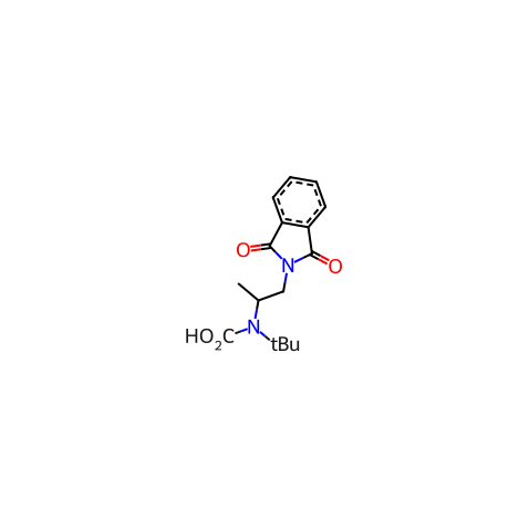 CC(CN1C(=O)c2ccccc2C1=O)N(C(=O)O)C(C)(C)C